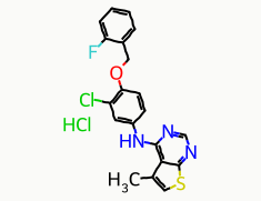 Cc1csc2ncnc(Nc3ccc(OCc4ccccc4F)c(Cl)c3)c12.Cl